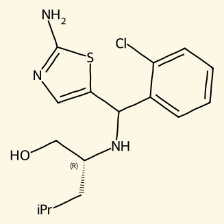 CC(C)C[C@H](CO)NC(c1cnc(N)s1)c1ccccc1Cl